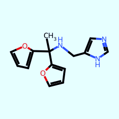 CC(NCc1cnc[nH]1)(c1ccco1)c1ccco1